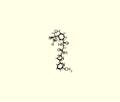 Cc1cccc(-c2csc(NC(=O)CNC(=O)c3ccc4c(c3)C(C#N)(OSI)COC4)n2)n1